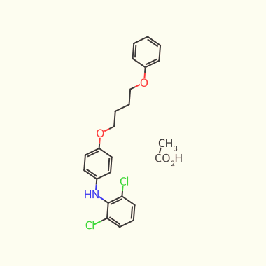 CC(=O)O.Clc1cccc(Cl)c1Nc1ccc(OCCCCOc2ccccc2)cc1